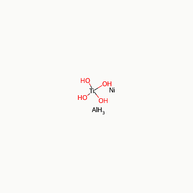 [AlH3].[Ni].[OH][Ti]([OH])([OH])[OH]